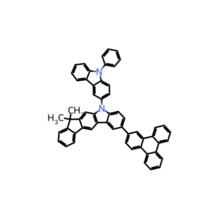 CC1(C)c2ccccc2-c2cc3c4cc(-c5ccc6c7ccccc7c7ccccc7c6c5)ccc4n(-c4ccc5c(c4)c4ccccc4n5-c4ccccc4)c3cc21